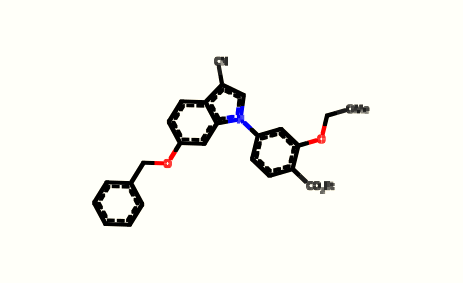 CCOC(=O)c1ccc(-n2cc(C#N)c3ccc(OCc4ccccc4)cc32)cc1OCOC